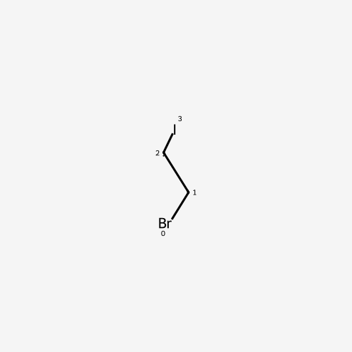 BrC[CH]I